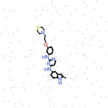 Cc1cc2cc(Nc3ccnc(Nc4cccc(OCCCN5CCSCC5)c4)n3)ccc2[nH]1